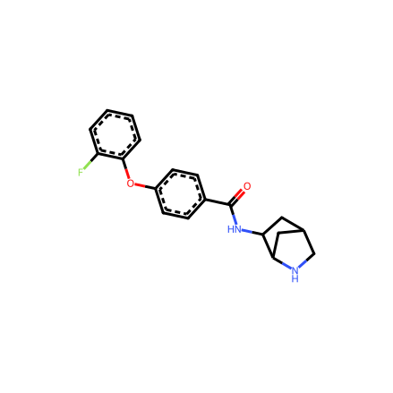 O=C(NC1CC2CNC1C2)c1ccc(Oc2ccccc2F)cc1